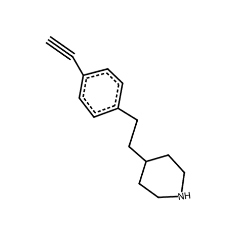 C#Cc1ccc(CCC2CCNCC2)cc1